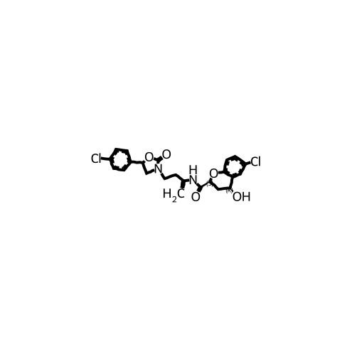 C=C(CCN1CC(c2ccc(Cl)cc2)OC1=O)NC(=O)[C@@H]1C[C@@H](O)c2cc(Cl)ccc2O1